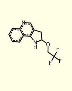 FC(F)(F)COC1Cc2cnc3ccccc3c2N1